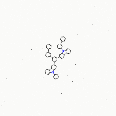 c1ccc(-c2cccc(-c3cc(-c4ccc5c(c4)c4ccccc4n5-c4ccccc4)cc(-c4ccc5c6ccccc6n(-c6cccc(-c7ccccc7)c6)c5c4)c3)c2)cc1